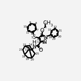 CCOc1c(Sc2ccccc2)c(C(=O)NC23CC4CC(CC(C4)C2)C3)nn1-c1ccccc1